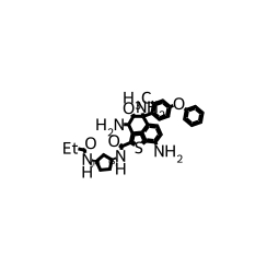 CCC(=O)N[C@@H]1CC[C@H](NC(=O)c2sc3c(N)ccc4c3c2C(N)C(=O)C4(N)c2ccc(Oc3ccccc3)cc2C)C1